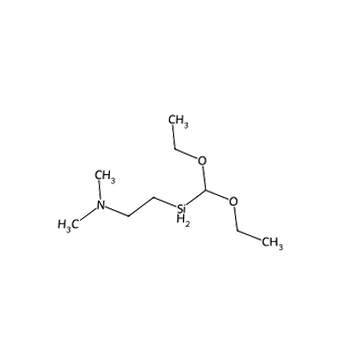 CCOC(OCC)[SiH2]CCN(C)C